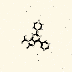 Cc1nc2c(-c3cncnc3)nc(N3CCOCC3)nc2n1C(C)C